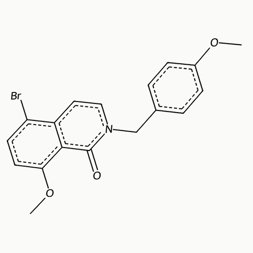 COc1ccc(Cn2ccc3c(Br)ccc(OC)c3c2=O)cc1